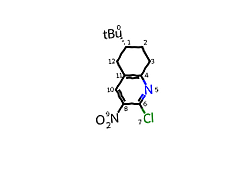 CC(C)(C)[C@@H]1CCc2nc(Cl)c([N+](=O)[O-])cc2C1